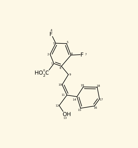 O=C(O)c1cc(F)cc(F)c1CC=C(CO)c1ccccc1